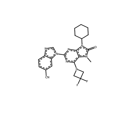 Cn1c(=O)n(C2CCCCC2)c2nc(-n3cnc4ccc(C#N)cc43)nc(N3CC(F)(F)C3)c21